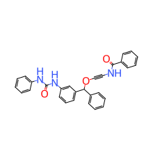 O=C(Nc1ccccc1)Nc1cccc(C(OC#CNC(=O)c2ccccc2)c2ccccc2)c1